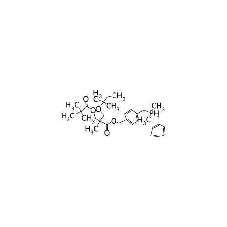 CCC(C)(C)OCC(C)(COC(=O)C(C)(C)C)C(=O)OCc1ccc(C[PH](C)(C)Cc2ccccc2)cc1